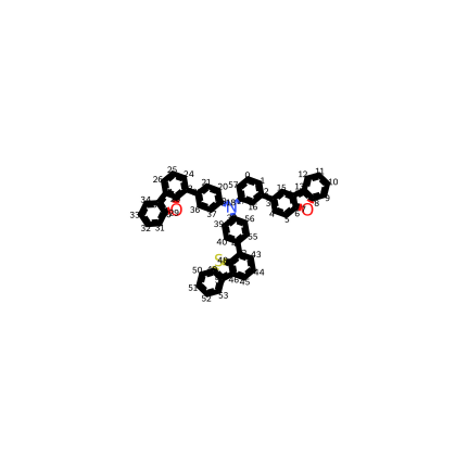 c1cc(-c2ccc3oc4ccccc4c3c2)cc(N(c2ccc(-c3cccc4c3oc3ccccc34)cc2)c2ccc(-c3cccc4c3sc3ccccc34)cc2)c1